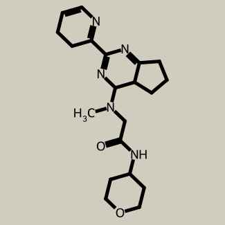 CN(CC(=O)NC1CCOCC1)C1N=C(C2=NC=CCC2)N=C2CCCC21